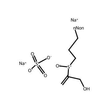 C=C(CO)[S+]([O-])CCCCCCCCCCCC.O=S(=O)([O-])[O-].[Na+].[Na+]